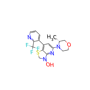 C[C@@H]1COCCN1c1cc(-c2cccnc2C(F)(F)F)c2c(n1)N(O)CS2